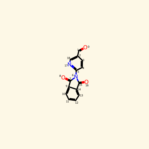 O=Cc1ccc(N2C(=O)c3ccccc3C2=O)nc1